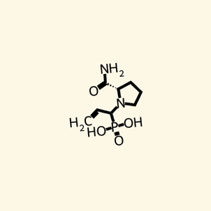 C=CC(N1CCC[C@H]1C(N)=O)P(=O)(O)O